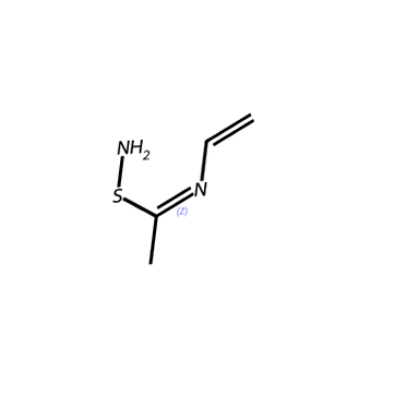 C=C/N=C(/C)SN